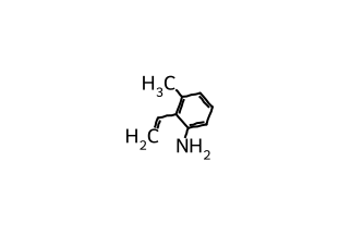 C=Cc1c(C)cccc1N